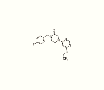 O=C1CN(c2cc(OCC(F)(F)F)ncn2)CCN1Cc1ccc(F)cc1